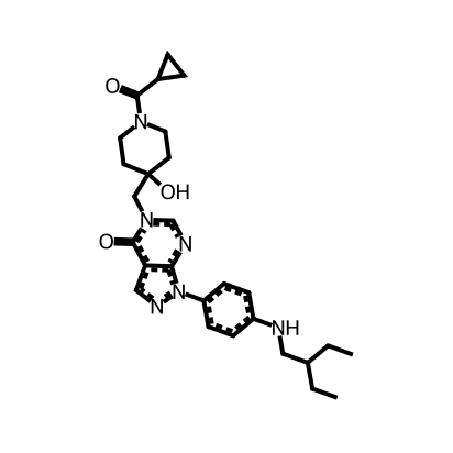 CCC(CC)CNc1ccc(-n2ncc3c(=O)n(CC4(O)CCN(C(=O)C5CC5)CC4)cnc32)cc1